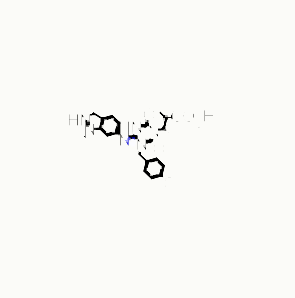 C[C@@H](C(=O)O)[C@H](C)n1c(=O)[nH]/c(=N\c2ccc3c(c2)N(C)NC3)n(Cc2ccc(Cl)cc2)c1=O